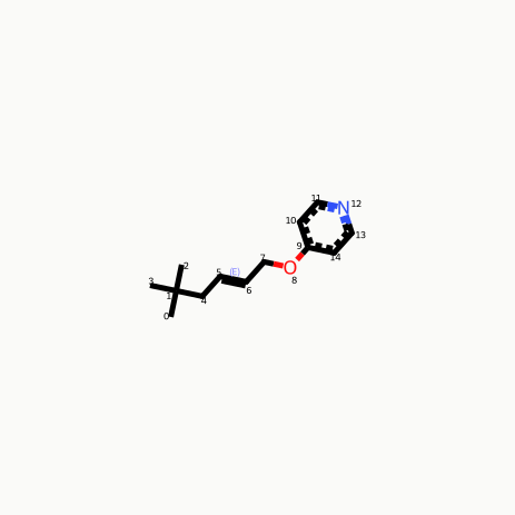 CC(C)(C)C/C=C/COc1ccncc1